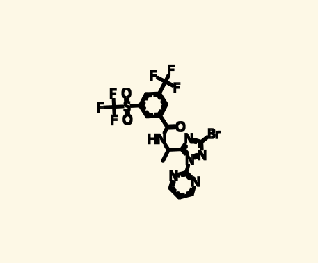 CC(NC(=O)c1cc(C(F)(F)F)cc(S(=O)(=O)C(F)(F)F)c1)c1nc(Br)nn1-c1ncccn1